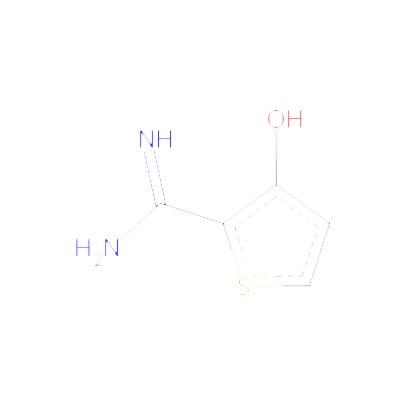 N=C(N)c1sccc1O